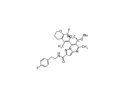 Cc1nc2cc(C(=O)NCCc3ccc(F)cc3)nn2c(-c2cc(F)c3c(c2C)CCCO3)c1[C@H](OC(C)(C)C)C(=O)O